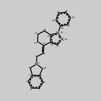 C(CN1Cc2ccccc2C1)=C1CCCc2c1cnn2-c1ccccc1